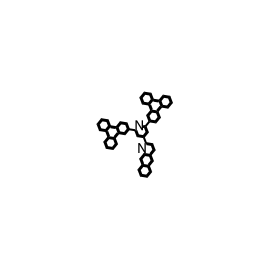 c1ccc2cc3nc(-c4cc(-c5ccc6c7ccccc7c7ccccc7c6c5)nc(-c5ccc6c7ccccc7c7ccccc7c6c5)c4)ccc3cc2c1